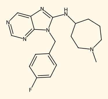 CN1CCCC(Nc2nc3cncnc3n2Cc2ccc(F)cc2)CC1